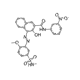 CNS(=O)(=O)c1ccc(OC)c(/N=N/c2c(O)c(C(=O)Nc3cccc([N+](=O)[O-])c3)cc3ccccc23)c1